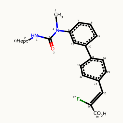 CCCCCCCNC(=O)N(C)c1cccc(-c2ccc(C=C(F)C(=O)O)cc2)c1